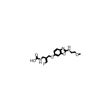 COCCNc1nc2ccc(OCC(=CF)CNC(=O)O)cc2o1